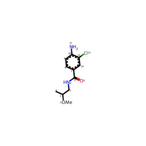 COC(C)CNC(=O)c1ccc(N)c(Cl)c1